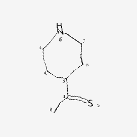 CC(=S)C1CCNCC1